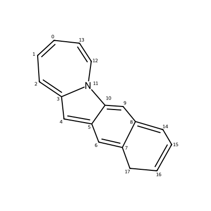 C1=CC=c2cc3cc4c(cc3n2C=C1)=CC=CC4